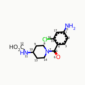 Nc1ccc(C(=O)N2CCC(NC(=O)O)CC2)c(Cl)c1